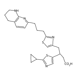 O=C(O)CC(Cc1csc(CCCc2ccc3c(n2)NCCC3)n1)c1cnc(C2CC2)s1